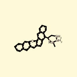 C[SiH]1OC(c2c3ccccc3cc3c2ccc2cc4cc5ccccc5cc4cc23)C[SiH2][SiH2]1